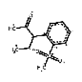 CCC(C(=O)O)c1ccccc1S(C)(=O)=O